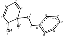 OC1C=CC=CC1(Br)OCc1ccccc1